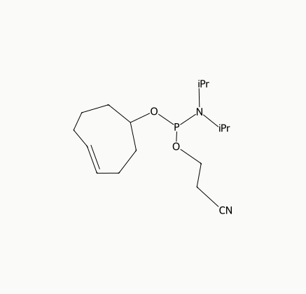 CC(C)N(C(C)C)P(OCCC#N)OC1CC/C=C/CCC1